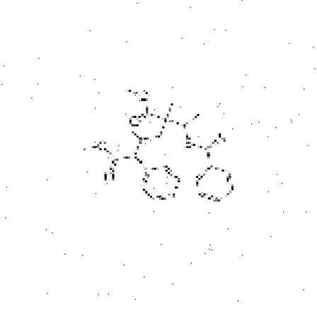 COC(=O)C(c1ccccc1)C(C)CC(C)(C(=O)OC)C(C)SC(=S)c1ccccc1